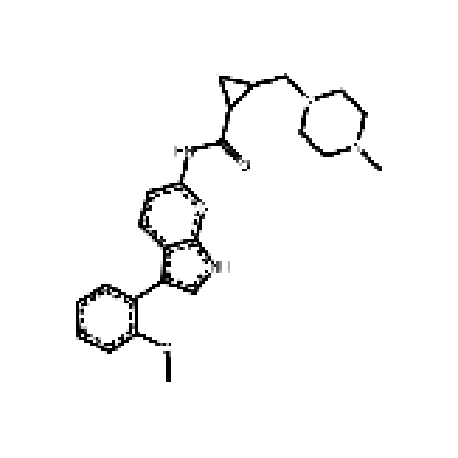 COc1ccccc1-c1c[nH]c2nc(NC(=O)C3CC3CN3CCN(C)CC3)ccc12